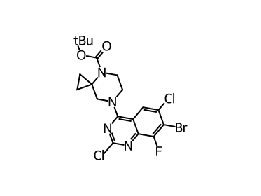 CC(C)(C)OC(=O)N1CCN(c2nc(Cl)nc3c(F)c(Br)c(Cl)cc23)CC12CC2